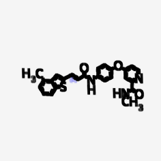 CNC(=O)c1cc(Oc2ccc(NC(=O)/C=C/c3cc4c(C)cccc4s3)cc2)ccn1